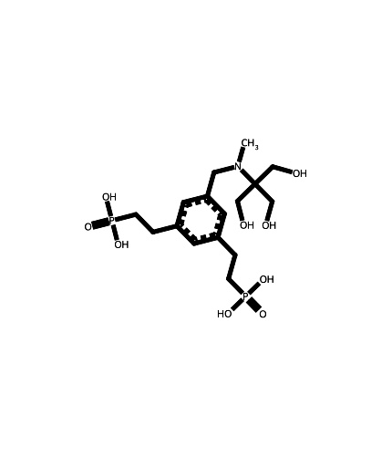 CN(Cc1cc(CCP(=O)(O)O)cc(CCP(=O)(O)O)c1)C(CO)(CO)CO